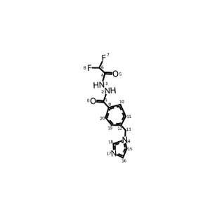 O=C(NNC(=O)C(F)F)c1ccc(Cn2ccnc2)cc1